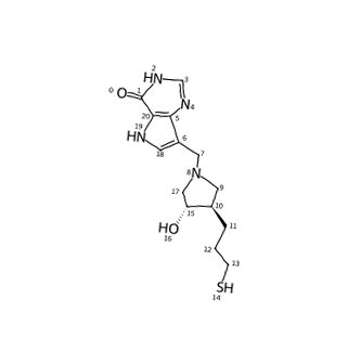 O=c1[nH]cnc2c(CN3C[C@@H](CCCS)[C@H](O)C3)c[nH]c12